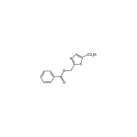 CCOC(=O)c1cnc(COC(=O)c2ccccc2)s1